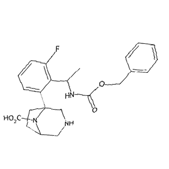 CC(NC(=O)OCc1ccccc1)c1c(F)cccc1C12CCC(CNC1)N2C(=O)O